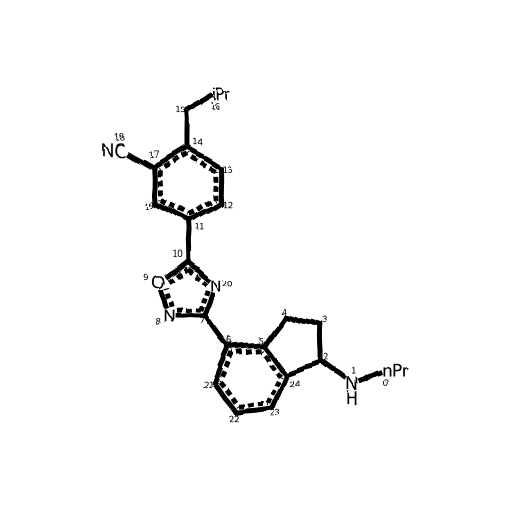 CCCNC1CCc2c(-c3noc(-c4ccc(CC(C)C)c(C#N)c4)n3)cccc21